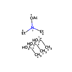 CC(=O)O.CC(=O)O.CC(=O)O.CCN(CC)OC(C)=O